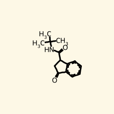 CC(C)(C)NC(=O)C1CC(=O)c2ccccc21